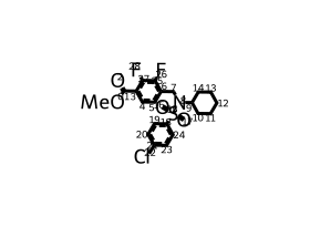 COC(=O)c1ccc(CN(C2CCCCC2)S(=O)(=O)c2ccc(Cl)cc2)c(F)c1F